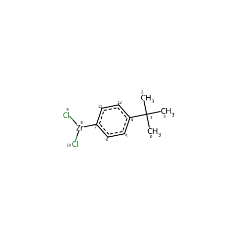 CC(C)(C)c1cc[c]([Zr]([Cl])[Cl])cc1